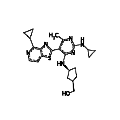 Cc1nc(NC2CC2)nc(N[C@H]2CC[C@@H](CO)C2)c1-c1nc2c(C3CC3)nccc2s1